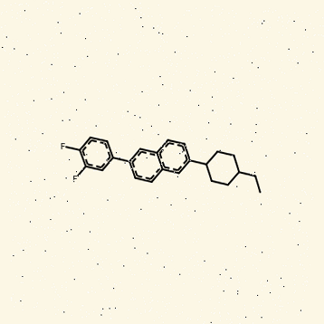 CCC1CCC(c2ccc3cc(-c4ccc(F)c(F)c4)ccc3c2)CC1